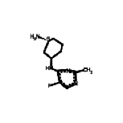 Cc1ncc(F)c(NC2CCC[C@@H](N)C2)n1